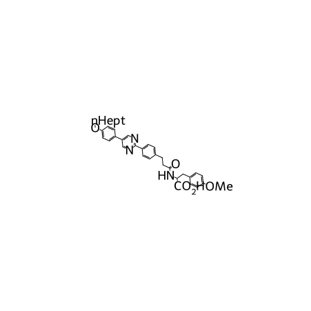 CCCCCCCOc1ccc(-c2cnc(-c3ccc(CCC(=O)NC(Cc4ccc(OC)cc4)C(=O)O)cc3)nc2)cc1